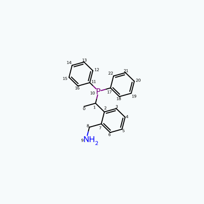 CC(c1ccccc1CN)P(c1ccccc1)c1ccccc1